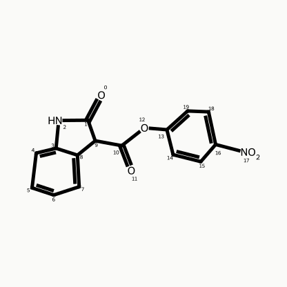 O=C1Nc2ccccc2C1C(=O)Oc1ccc([N+](=O)[O-])cc1